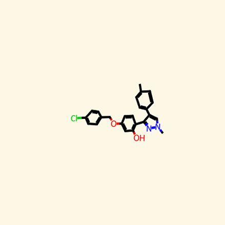 Cc1ccc(-c2cn(C)nc2-c2ccc(OCc3ccc(Cl)cc3)cc2O)cc1